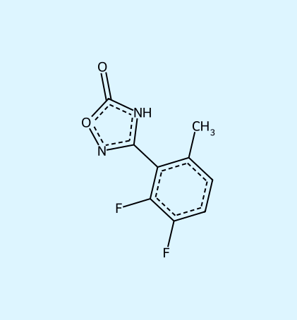 Cc1ccc(F)c(F)c1-c1noc(=O)[nH]1